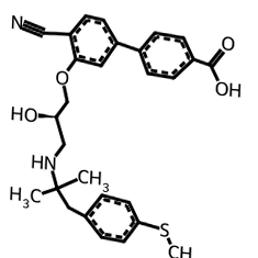 CSc1ccc(CC(C)(C)NC[C@@H](O)COc2cc(-c3ccc(C(=O)O)cc3)ccc2C#N)cc1